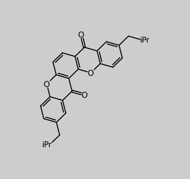 CC(C)Cc1ccc2oc3c(ccc4oc5ccc(CC(C)C)cc5c(=O)c43)c(=O)c2c1